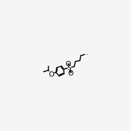 [CH2]CCCCS(=O)(=O)c1ccc(OC(C)C)cc1